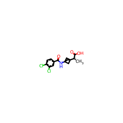 C[C@H](C(=O)O)C12CC(NC(=O)c3ccc(Cl)c(Cl)c3)(C1)C2